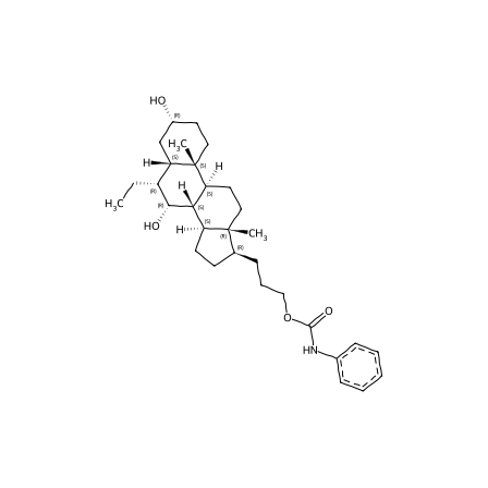 CC[C@H]1[C@@H](O)[C@@H]2[C@H](CC[C@]3(C)[C@@H](CCCOC(=O)Nc4ccccc4)CC[C@@H]23)[C@@]2(C)CC[C@@H](O)C[C@@H]12